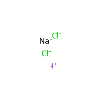 [Cl-].[Cl-].[I+].[Na+]